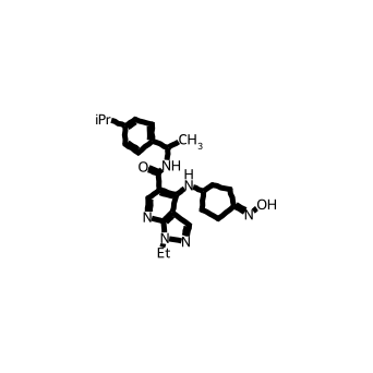 CCn1ncc2c(NC3CCC(=NO)CC3)c(C(=O)NC(C)c3ccc(C(C)C)cc3)cnc21